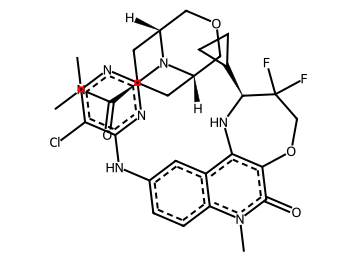 CN(C)C(=O)[C@@H]1C[C@H]2COC[C@@H](C1)N2c1ncc(Cl)c(Nc2ccc3c(c2)c2c(c(=O)n3C)OCC(F)(F)[C@H](C3CC3)N2)n1